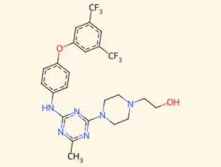 Cc1nc(Nc2ccc(Oc3cc(C(F)(F)F)cc(C(F)(F)F)c3)cc2)nc(N2CCN(CCO)CC2)n1